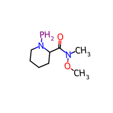 CON(C)C(=O)C1CCCCN1P